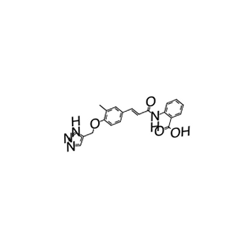 Cc1cc(/C=C/C(=O)Nc2ccccc2C(=O)O)ccc1OCc1cnn[nH]1